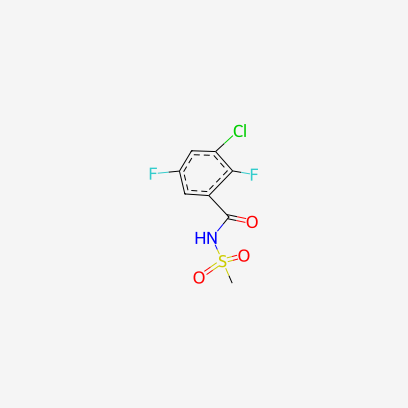 CS(=O)(=O)NC(=O)c1cc(F)cc(Cl)c1F